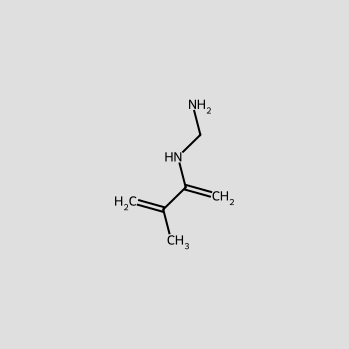 C=C(C)C(=C)NCN